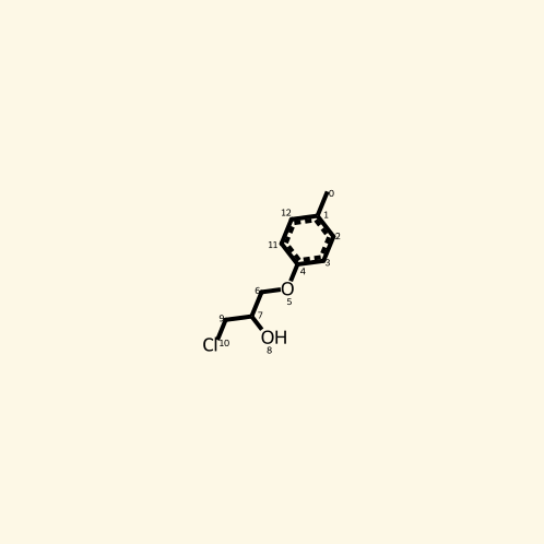 Cc1ccc(OCC(O)CCl)cc1